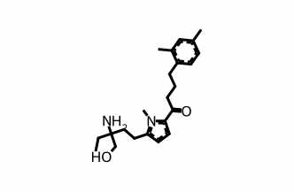 CCC(N)(CO)CCc1ccc(C(=O)CCCc2ccc(C)cc2C)n1C